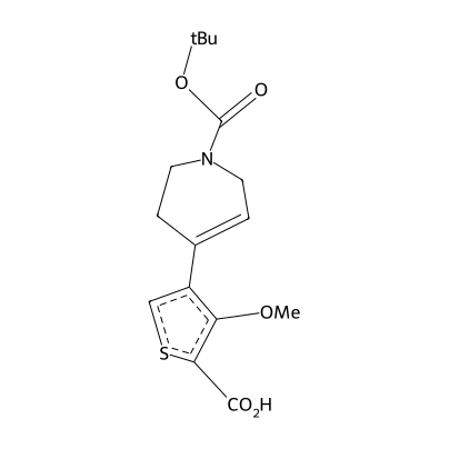 COc1c(C2=CCN(C(=O)OC(C)(C)C)CC2)csc1C(=O)O